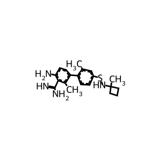 Cc1cc(SNC2(C)CCC2)ccc1-c1ccc(N)c(C(=N)N)c1C